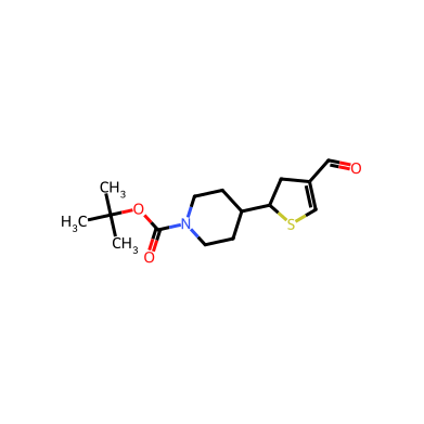 CC(C)(C)OC(=O)N1CCC(C2CC(C=O)=CS2)CC1